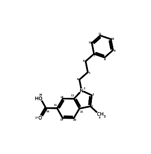 Cc1cn(CCCc2ccccc2)c2cc(C(=O)O)ccc12